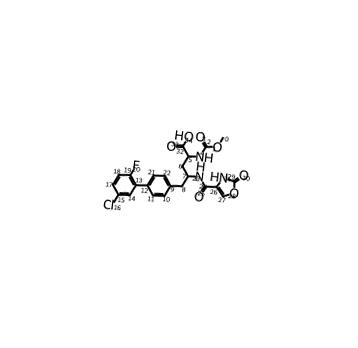 COC(=O)NC(CC(Cc1ccc(-c2cc(Cl)ccc2F)cc1)NC(=O)c1coc(=O)[nH]1)C(=O)O